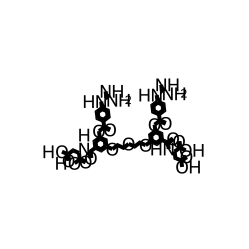 N=C(N)Nc1ccc(C(=O)Oc2cc(OCCOCCOc3cc(OC(=O)c4ccc(NC(=N)N)cc4)cc(C(=O)NC(CC(=O)O)C(=O)O)c3)cc(C(=O)NC(CC(=O)O)C(=O)O)c2)cc1